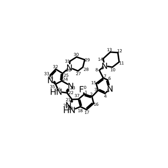 Fc1c(-c2cncc(CN3CCCCC3)c2)ccc2[nH]nc(-c3nc4c(N5CCCCC5)ccnc4[nH]3)c12